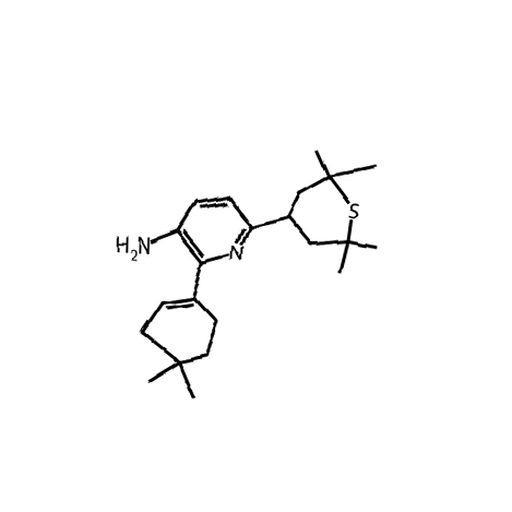 CC1(C)CC=C(c2nc(C3CC(C)(C)SC(C)(C)C3)ccc2N)CC1